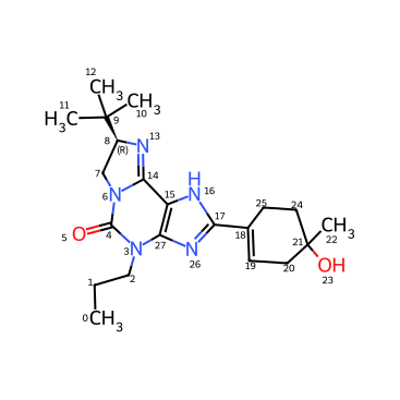 CCCN1C(=O)N2C[C@@H](C(C)(C)C)N=C2c2[nH]c(C3=CCC(C)(O)CC3)nc21